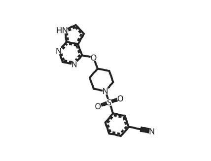 N#Cc1cccc(S(=O)(=O)N2CCC(Oc3ncnc4[nH]ccc34)CC2)c1